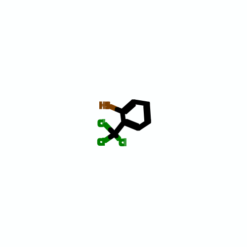 Sc1ccccc1C(Cl)(Cl)Cl